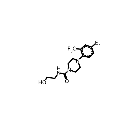 CCc1ccc(N2CCN(C(=O)NCCO)CC2)c(C(F)(F)F)c1